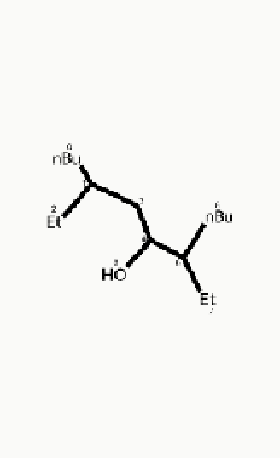 CCCCC(CC)CC(O)C(CC)CCCC